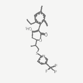 CCc1cc(C)cc(C)c1C1=C(O)CC(C(C)CSc2ccc(C(F)(F)F)cn2)OC1=O